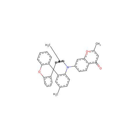 Cc1ccc2c(c1)C1(c3ccccc3Oc3ccccc31)c1cc(C)ccc1N2c1ccc2c(=O)cc(C)oc2c1